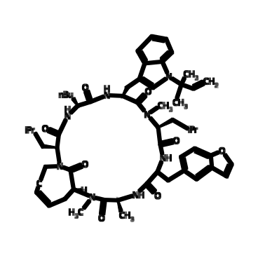 C=CC(C)(C)n1cc(C[C@@H]2NC(=O)[C@H](CCCC)NC(=O)[C@H](CC(C)C)N3CC/C=C\C[C@@H](C3=O)N(C)C(=O)[C@H](C)NC(=O)C(Cc3ccc4occc4c3)NC(=O)[C@H](CC(C)C)N(C)C2=O)c2ccccc21